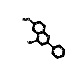 COc1ccc2nc(-c3ccccc3)cc(S)c2c1